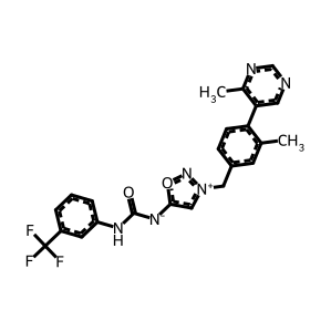 Cc1cc(C[n+]2cc([N-]C(=O)Nc3cccc(C(F)(F)F)c3)on2)ccc1-c1cncnc1C